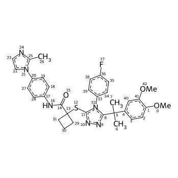 COc1ccc(C(C)(C)c2nnc(SC3(C(=O)Nc4ccc(-n5ccnc5C)cc4)CCC3)n2-c2ccc(F)cc2)cc1OC